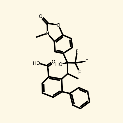 CC(c1c(C(=O)O)cccc1-c1ccccc1)C(O)(c1ccc2oc(=O)n(C)c2c1)C(F)(F)F